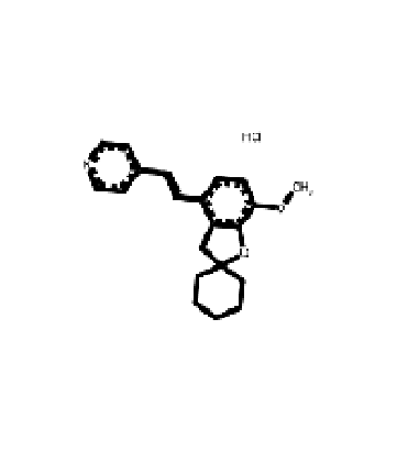 COc1ccc(/C=C/c2ccncc2)c2c1OC1(CCCCC1)C2.Cl